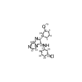 COc1cccc(-c2nc3cnccn3c2Nc2cccc(Cl)c2)c1